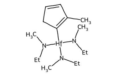 CC[N](C)[Hf]([C]1=C(C)C=CC1)([N](C)CC)[N](C)CC